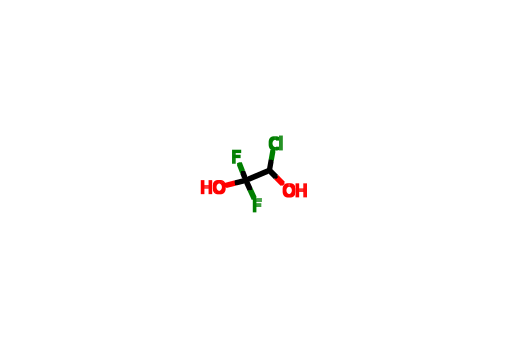 OC(Cl)C(O)(F)F